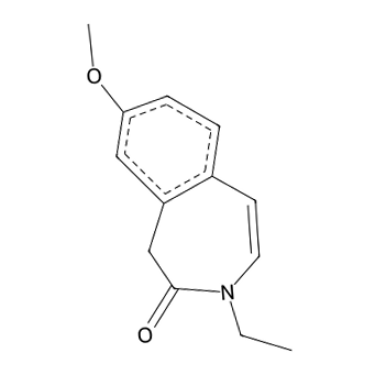 CCN1C=Cc2ccc(OC)cc2CC1=O